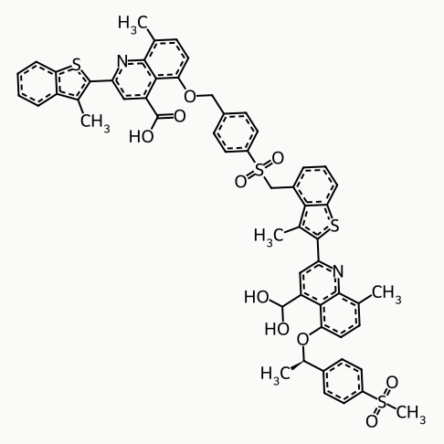 Cc1c(-c2cc(C(=O)O)c3c(OCc4ccc(S(=O)(=O)Cc5cccc6sc(-c7cc(C(O)O)c8c(O[C@H](C)c9ccc(S(C)(=O)=O)cc9)ccc(C)c8n7)c(C)c56)cc4)ccc(C)c3n2)sc2ccccc12